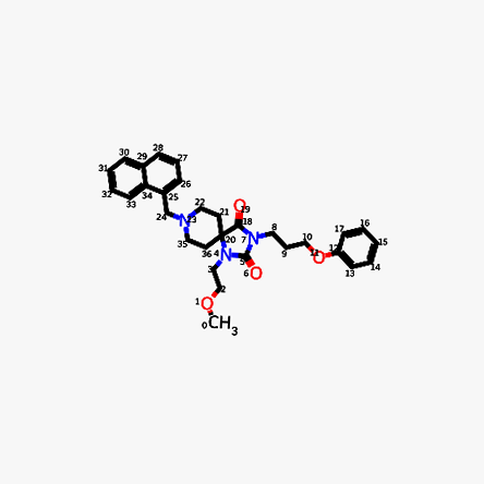 COCCN1C(=O)N(CCCOc2ccccc2)C(=O)C12CCN(Cc1cccc3ccccc13)CC2